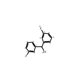 CCC(c1cccc(F)c1)c1cccc(F)c1